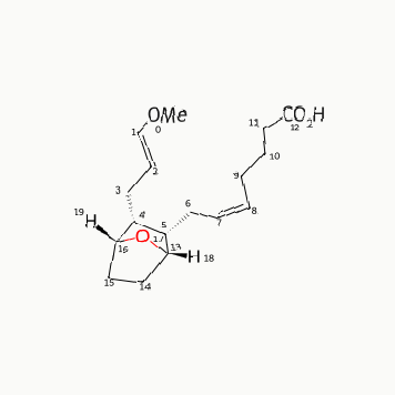 COC=CC[C@@H]1[C@H](C/C=C\CCCC(=O)O)[C@@H]2CC[C@H]1O2